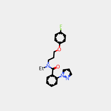 CCN(CCCOc1ccc(F)cc1)C(=O)c1ccccc1-n1cccn1